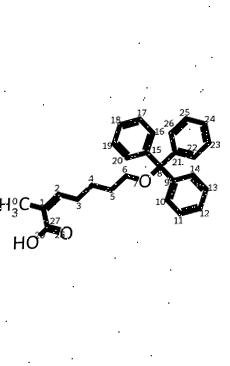 CC(=CCCCCOC(c1ccccc1)(c1ccccc1)c1ccccc1)C(=O)O